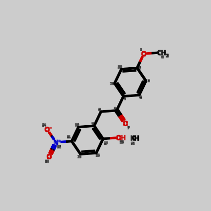 COc1ccc(C(=O)Cc2cc([N+](=O)[O-])ccc2O)cc1.[KH]